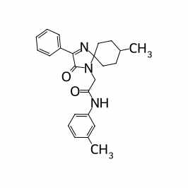 Cc1cccc(NC(=O)CN2C(=O)C(c3ccccc3)=NC23CCC(C)CC3)c1